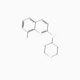 Clc1cccc2ccc(NC3CCNCC3)nc12